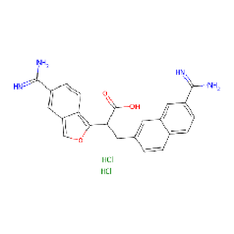 Cl.Cl.N=C(N)c1ccc2ccc(CC(C(=O)O)c3occ4cc(C(=N)N)ccc34)cc2c1